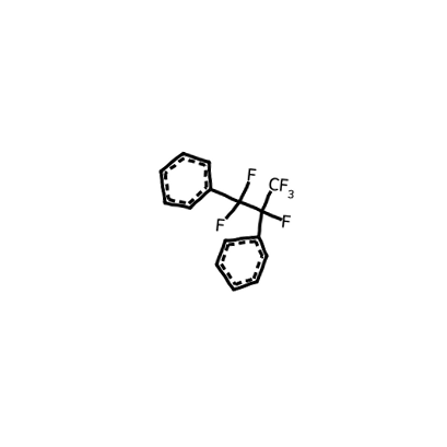 FC(F)(F)C(F)(c1ccccc1)C(F)(F)c1ccccc1